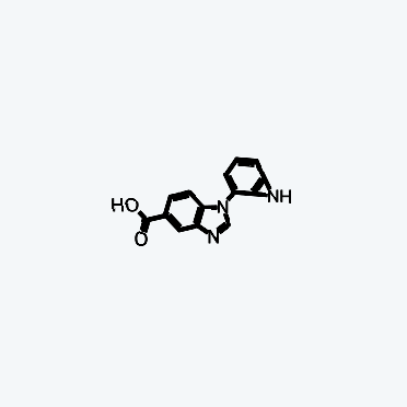 O=C(O)c1ccc2c(c1)ncn2-c1cccc2c1N2